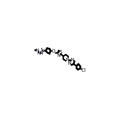 C=N/N=N\N(C)c1ccc(OCc2csc(C3CCN(c4ncc(-c5ccc(Cl)cc5)cn4)CC3)n2)cc1